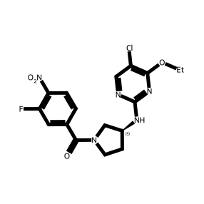 CCOc1nc(N[C@H]2CCN(C(=O)c3ccc([N+](=O)[O-])c(F)c3)C2)ncc1Cl